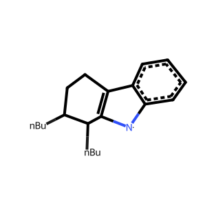 CCCCC1CCC2=C([N]c3ccccc32)C1CCCC